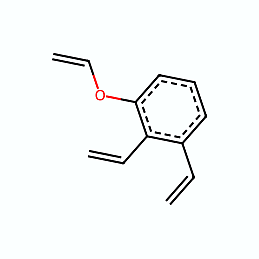 C=COc1cccc(C=C)c1C=C